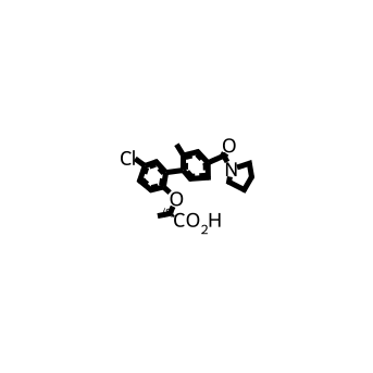 Cc1cc(C(=O)N2CCCC2)ccc1-c1cc(Cl)ccc1O[C@@H](C)C(=O)O